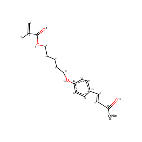 C=C(C)C(=O)OCCCCCOc1ccc(C=CC(=O)OC)cc1